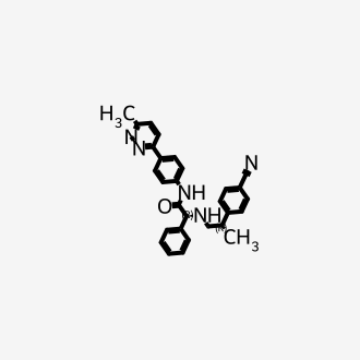 Cc1ccc(-c2ccc(NC(=O)[C@H](NC[C@H](C)c3ccc(C#N)cc3)c3ccccc3)cc2)nn1